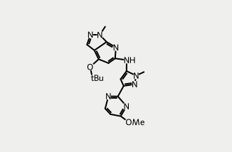 COc1ccnc(-c2cc(Nc3cc(OC(C)(C)C)c4cnn(C)c4n3)n(C)n2)n1